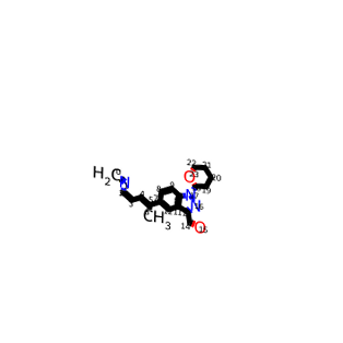 C=N/C=C\C=C(/C)c1ccc2c(c1)c(C=O)nn2C1CCCCO1